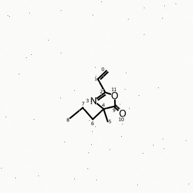 C=CC1=NC(C)(CCC)C(=O)O1